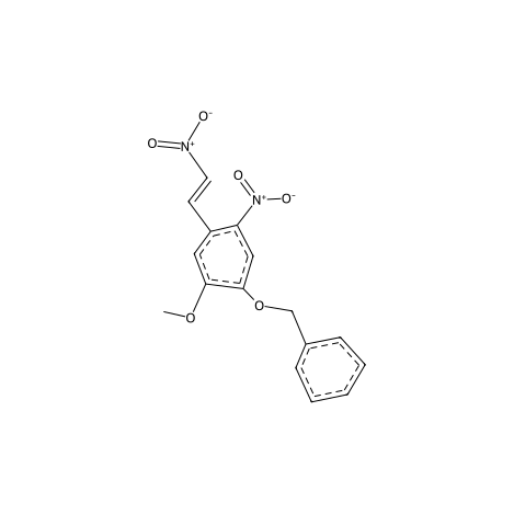 COc1cc(C=C[N+](=O)[O-])c([N+](=O)[O-])cc1OCc1ccccc1